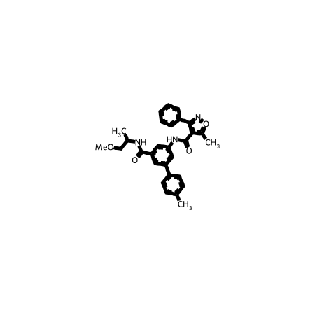 COCC(C)NC(=O)c1cc(NC(=O)c2c(-c3ccccc3)noc2C)cc(-c2ccc(C)cc2)c1